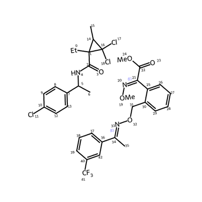 CCC1(C(=O)NC(C)c2ccc(Cl)cc2)C(C)C1(Cl)Cl.CO/N=C(/C(=O)OC)c1ccccc1CO/N=C(\C)c1cccc(C(F)(F)F)c1